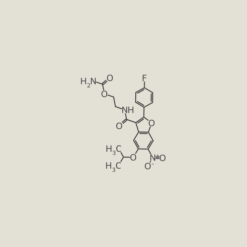 CC(C)Oc1cc2c(C(=O)NCCOC(N)=O)c(-c3ccc(F)cc3)oc2cc1[N+](=O)[O-]